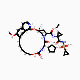 CC[C@@H]1C[C@]1(NC(=O)[C@@H]1C[C@@H]2CN1C(=O)[C@H](C1CCCC1)NC(=O)OCCCCCc1cc3c(nccc3cc1OC)O2)C(=O)NS(=O)(=O)C1CC1